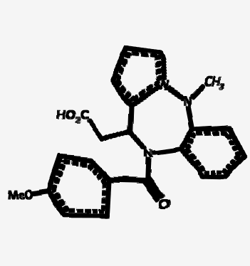 COc1ccc(C(=O)N2c3ccccc3N(C)n3cccc3C2CC(=O)O)cc1